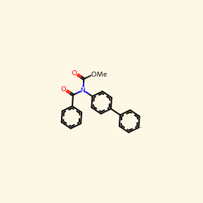 COC(=O)N(C(=O)c1ccccc1)c1ccc(-c2cc[c]cc2)cc1